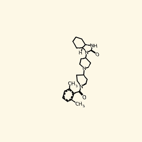 Cc1cccc(C)c1C(=O)N1CCC(N2CCC(N3C(=O)NC4CCCC[C@H]43)CC2)CC1